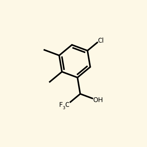 Cc1cc(Cl)cc(C(O)C(F)(F)F)c1C